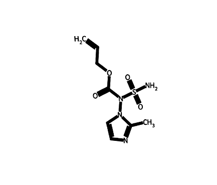 C=CCOC(=O)N(n1ccnc1C)S(N)(=O)=O